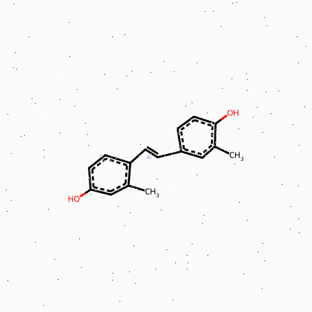 Cc1cc(/C=C/c2ccc(O)cc2C)ccc1O